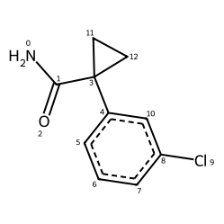 NC(=O)C1(c2cccc(Cl)c2)CC1